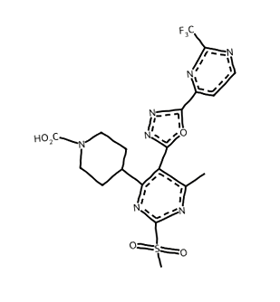 Cc1nc(S(C)(=O)=O)nc(C2CCN(C(=O)O)CC2)c1-c1nnc(-c2ccnc(C(F)(F)F)n2)o1